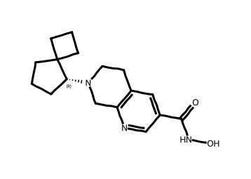 O=C(NO)c1cnc2c(c1)CCN([C@@H]1CCCC13CCC3)C2